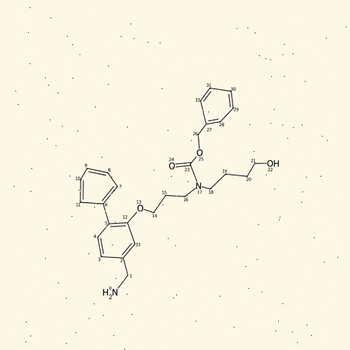 NCc1ccc(-c2ccccc2)c(OCCCN(CCCCO)C(=O)OCc2ccccc2)c1